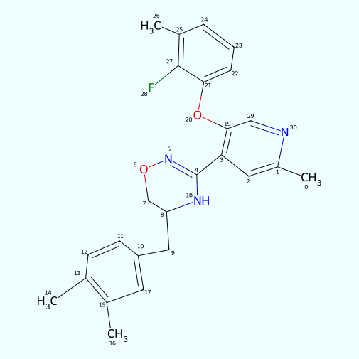 Cc1cc(C2=NOCC(Cc3ccc(C)c(C)c3)N2)c(Oc2cccc(C)c2F)cn1